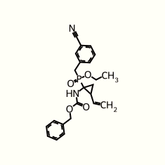 C=CC1CC1(NC(=O)OCc1ccccc1)P(=O)(Cc1cccc(C#N)c1)OCC